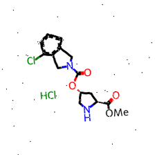 COC(=O)[C@@H]1C[C@@H](OC(=O)N2Cc3cccc(Cl)c3C2)CN1.Cl